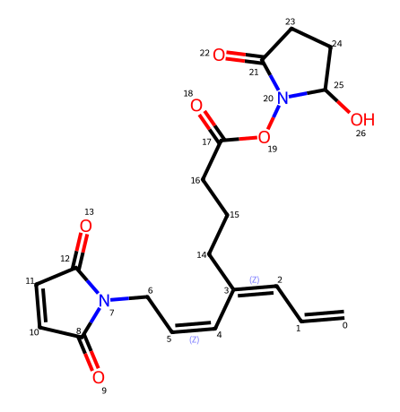 C=C/C=C(\C=C/CN1C(=O)C=CC1=O)CCCC(=O)ON1C(=O)CCC1O